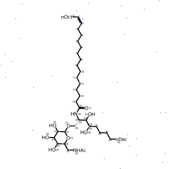 CCCCCCCC/C=C\CCCCCCCCCCCCCC(=O)N[C@@H](COC1OC(CNC(C)=O)C(O)C(O)C1O)C(O)[C@H](O)CCCCCCCCCCCCCC